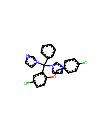 Clc1ccc(COc2ccc(Cl)cc2C(c2ccccc2)(n2ccnc2)n2ccnc2)cc1